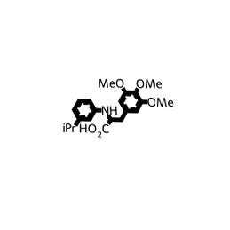 COc1cc(CC(Nc2cccc(C(C)C)c2)C(=O)O)cc(OC)c1OC